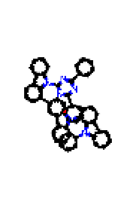 c1ccc(-c2nc(-c3ccccc3)nc(-n3c4ccccc4c4cccc(-c5ccc6c(c5)c5ccccc5n6-c5cccc6c7ccccc7n(-c7ccccc7)c56)c43)n2)cc1